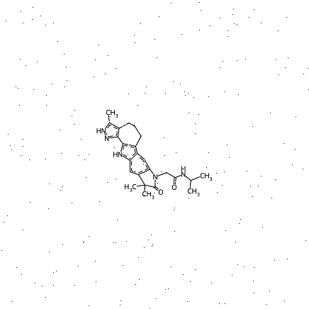 Cc1[nH]nc2c1CCCc1c-2[nH]c2cc3c(cc12)N(CC(=O)NC(C)C)C(=O)C3(C)C